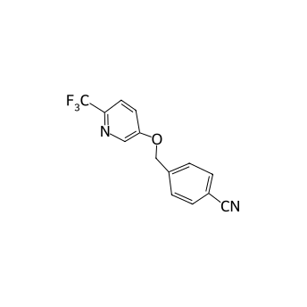 N#Cc1ccc(COc2ccc(C(F)(F)F)nc2)cc1